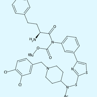 CC(=O)N(Sc1nc(-c2cccc(N(C(=O)OC(C)(C)C)C(=O)[C@@H](N)CCc3ccccc3)c2)cs1)C1CCN(Cc2ccc(Cl)c(Cl)c2)CC1